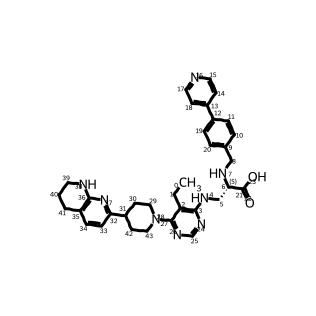 CCc1c(NC[C@H](NCc2ccc(-c3ccncc3)cc2)C(=O)O)ncnc1N1CCC(c2ccc3c(n2)NCCC3)CC1